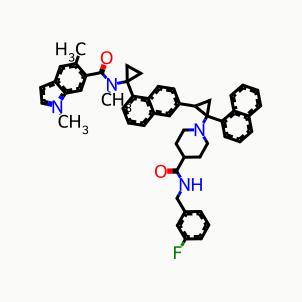 Cc1cc2ccn(C)c2cc1C(=O)N(C)C1(c2cccc3cc(C4CC4(c4cccc5ccccc45)N4CCC(C(=O)NCc5cccc(F)c5)CC4)ccc23)CC1